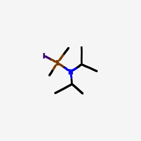 CC(C)N(C(C)C)S(C)(C)I